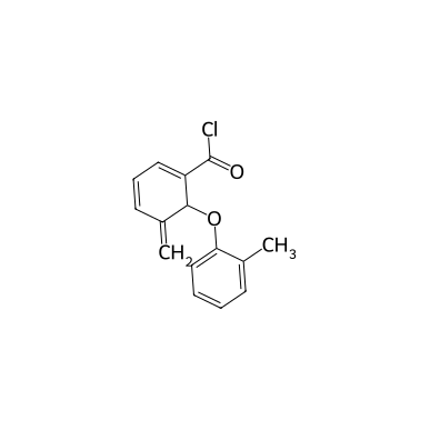 C=C1C=CC=C(C(=O)Cl)C1Oc1ccccc1C